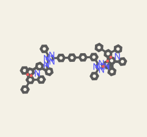 c1ccc(-c2cc(-c3ccccc3)cc(-c3ccccc3-n3c4ccccc4c4c5c6ccccc6n(-c6nc(-c7ccccc7)nc(-c7cccc(-c8ccc(-c9ccc(-c%10ccc(-c%11nc(-c%12ccccc%12)nc(-n%12c%13ccccc%13c%13c%12ccc%12c%14ccccc%14n(-c%14ccccc%14-c%14cc(-c%15ccccc%15)cc(-c%15ccccc%15)c%14)c%12%13)n%11)cc%10)cc9)cc8)c7)n6)c5ccc43)c2)cc1